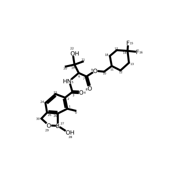 Cc1c(C(=O)NC(C(=O)OCC2CCC(F)(F)CC2)C(C)(C)O)ccc2c1B(O)OC2